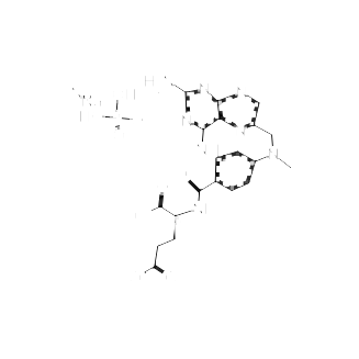 CN(Cc1cnc2nc(N)nc(N)c2n1)c1ccc(C(=O)N[C@@H](CCC(=O)[O-])C(=O)[O-])cc1.O=P(O)(O)O.[Na+].[Na+]